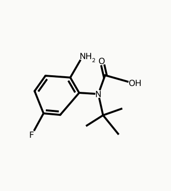 CC(C)(C)N(C(=O)O)c1cc(F)ccc1N